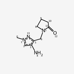 Cn1cc(N)c(CN2CCCC2=O)n1